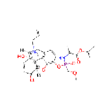 C=CCN1CC[C@]23c4c5ccc(OP(=O)(COC)NC(C)C(=O)OC(C)C)c4O[C@H]2C(=O)CC[C@@]3(O)[C@H]1C5